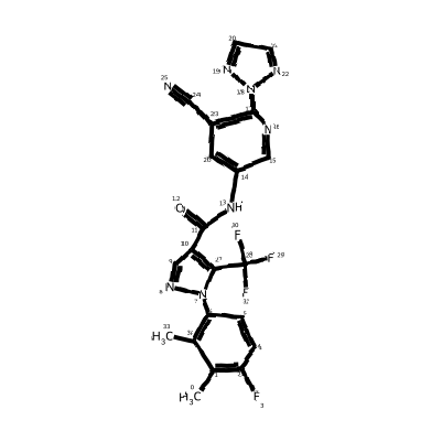 Cc1c(F)ccc(-n2ncc(C(=O)Nc3cnc(-n4nccn4)c(C#N)c3)c2C(F)(F)F)c1C